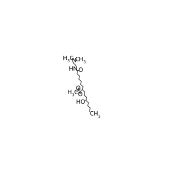 CCCCCC(O)CCCC(CCCCCCC(=O)NCCN(C)C)S(C)(=O)=O